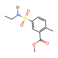 CCN(Br)S(=O)(=O)c1ccc(C)c(C(=O)OC)c1